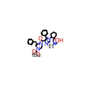 CCN(C)CC1(O)CCCCC1n1cnc(C(=O)N2CCN(C(=O)OC(C)(C)C)C[C@H]2Cc2ccccc2)c1-c1ccccc1